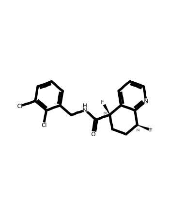 O=C(NCc1cccc(Cl)c1Cl)[C@@]1(F)CC[C@H](F)c2ncccc21